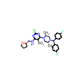 C[C@@H]1CN(c2nc(Cl)nc(NC[C@H]3CCCO3)c2[N+](=O)[O-])[C@@H](C)CN1C(c1ccc(F)cc1)c1ccc(F)cc1